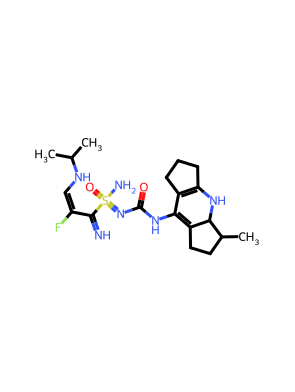 CC(C)N/C=C(/F)C(=N)S(N)(=O)=NC(=O)NC1=C2CCC(C)C2NC2=C1CCC2